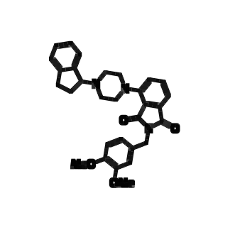 COc1ccc(CN2C(=O)c3cccc(N4CCN(C5CCc6ccccc65)CC4)c3C2=O)cc1OC